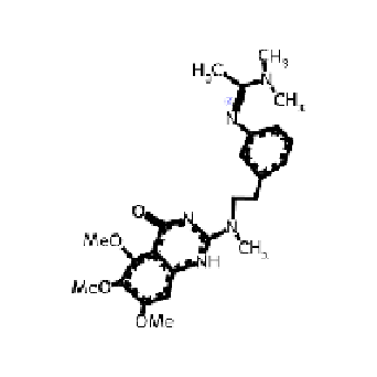 COc1cc2[nH]c(N(C)CCc3cccc(/N=C(/C)N(C)C)c3)nc(=O)c2c(OC)c1OC